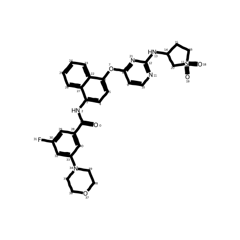 O=C(Nc1ccc(Oc2ccnc(NC3CCS(=O)(=O)C3)n2)c2ccccc12)c1cc(F)cc(N2CCOCC2)c1